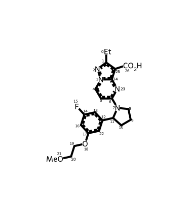 CCc1nn2ccc(N3CCCC3c3cc(F)cc(OCCOC)c3)nc2c1C(=O)O